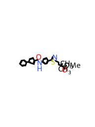 COC(=O)C(C)(C)CCc1ncc(-c2ccc(NC(=O)c3ccc(-c4ccccc4)cc3)cc2)s1